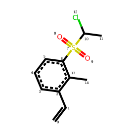 C=Cc1cccc(S(=O)(=O)C(C)Cl)c1C